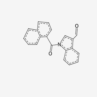 O=Cc1cn(C(=O)c2cccc3ccccc23)c2ccccc12